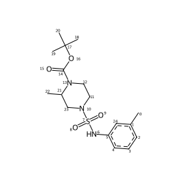 Cc1cccc(NS(=O)(=O)N2CCN(C(=O)OC(C)(C)C)C(C)C2)c1